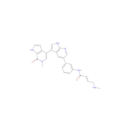 CNCC=CC(=O)Nc1cccc(-c2cnc3[nH]cc(-c4cn(C)c(=O)c5[nH]ccc45)c3c2)c1